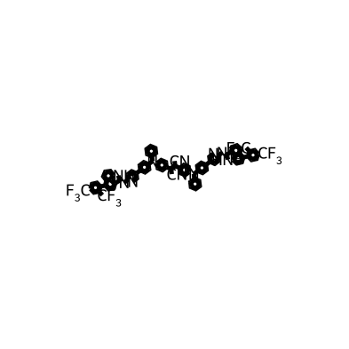 N#C/C(=C(/C#N)c1ccc(N(c2ccccc2)c2ccc(-c3ccc(/N=C4\Nc5cccc6c(-c7ccc(C(F)(F)F)cc7C(F)(F)F)ccc4c56)nc3)cc2)cc1)c1ccc(N(c2ccccc2)c2ccc(-c3ccc(/N=C4\Nc5ccc(-c6ccc(C(F)(F)F)cc6C(F)(F)F)c6cccc4c56)nc3)cc2)cc1